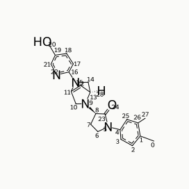 Cc1ccc(N2CC[C@@H](N3CC4=C[C@H]3CN4c3ccc(O)cn3)C2=O)cc1C